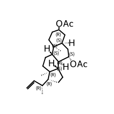 C=C[C@@H](C)[C@H]1CC[C@H]2[C@@H]3[C@@H](OC(C)=O)C[C@@H]4C[C@H](OC(C)=O)CC[C@]4(C)[C@H]3CC[C@]12C